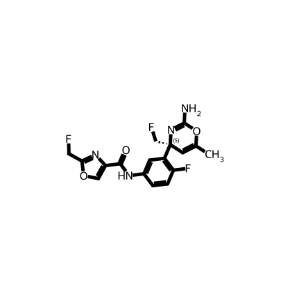 CC1=C[C@@](CF)(c2cc(NC(=O)c3coc(CF)n3)ccc2F)N=C(N)O1